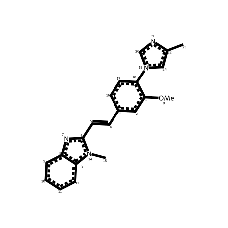 COc1cc(/C=C/c2nc3ccccc3n2C)ccc1-n1cnc(C)c1